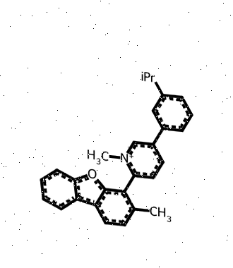 Cc1ccc2c(oc3ccccc32)c1-c1ccc(-c2cccc(C(C)C)c2)c[n+]1C